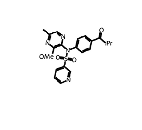 COc1nc(C)cnc1N(c1ccc(C(=O)C(C)C)cc1)S(=O)(=O)c1cccnc1